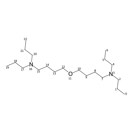 CCCN(CCC)CCCCOCCCCN(CCC)CCC